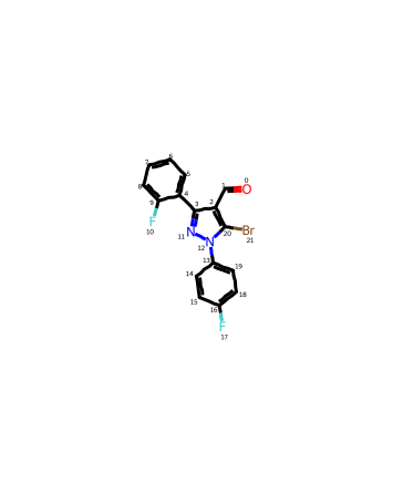 O=Cc1c(-c2ccccc2F)nn(-c2ccc(F)cc2)c1Br